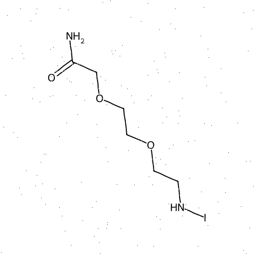 NC(=O)COCCOCCNI